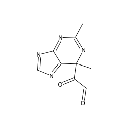 CC1=NC(C)(C(=O)C=O)C2=NC=NC2=N1